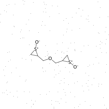 [O-][S+]1CC1COCC1C[S+]1[O-]